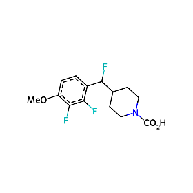 COc1ccc(C(F)C2CCN(C(=O)O)CC2)c(F)c1F